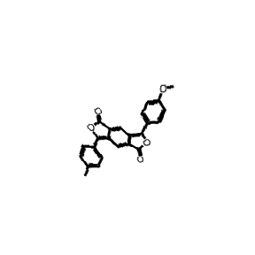 COc1ccc(C2=c3cc4c(cc3C(=O)O2)=C(c2ccc(C)cc2)OC4=O)cc1